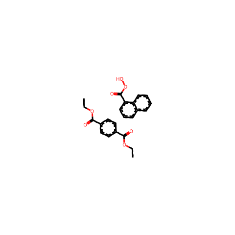 CCOC(=O)c1ccc(C(=O)OCC)cc1.O=C(OO)c1cccc2ccccc12